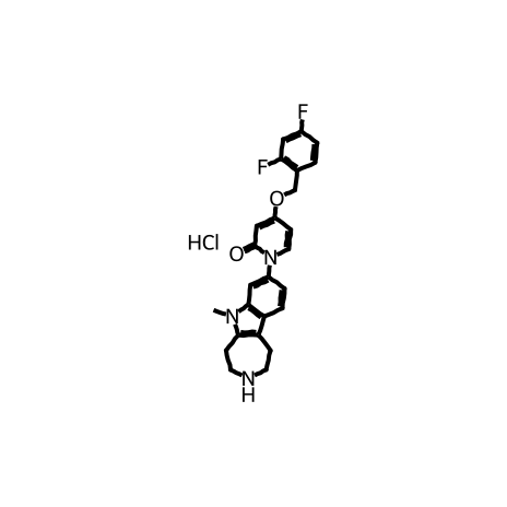 Cl.Cn1c2c(c3ccc(-n4ccc(OCc5ccc(F)cc5F)cc4=O)cc31)CCNCC2